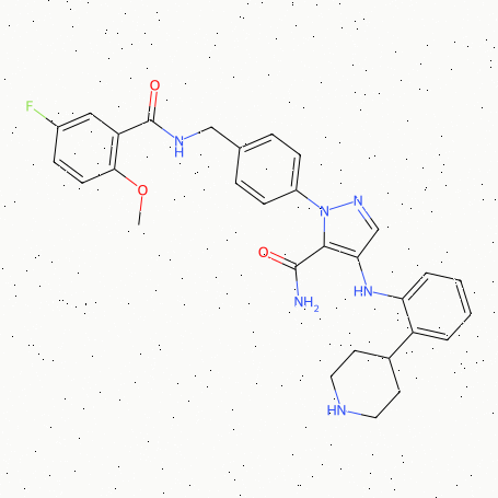 COc1ccc(F)cc1C(=O)NCc1ccc(-n2ncc(Nc3ccccc3C3CCNCC3)c2C(N)=O)cc1